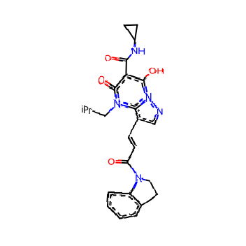 CC(C)Cn1c(=O)c(C(=O)NC2CC2)c(O)n2ncc(C=CC(=O)N3CCc4ccccc43)c12